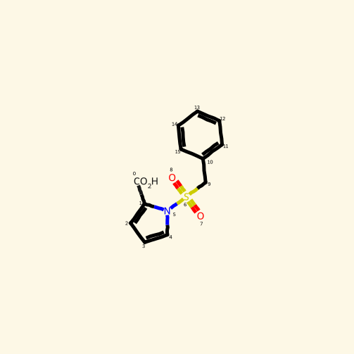 O=C(O)c1cccn1S(=O)(=O)Cc1ccccc1